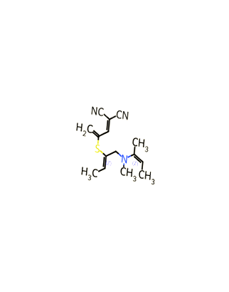 C=C(C=C(C#N)C#N)S/C(=C\C)CN(C)/C(C)=C\C